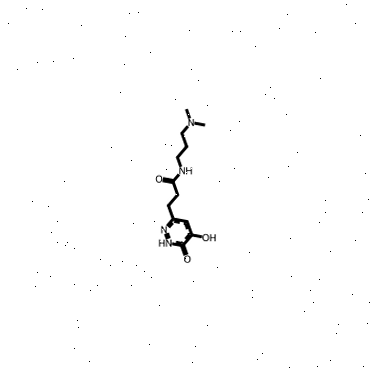 CN(C)CCCNC(=O)CCc1cc(O)c(=O)[nH]n1